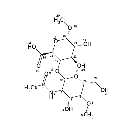 COC1[C@H](O)C(NC(C)=O)C(OC2[C@@H](C(=O)O)O[C@H](OC)[C@H](O)[C@H]2O)O[C@@H]1CO